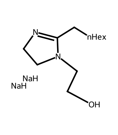 CCCCCCCC1=NCCN1CCO.[NaH].[NaH]